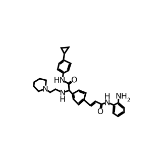 Nc1ccccc1NC(=O)C=Cc1ccc(C(NCCN2CCCCC2)C(=O)Nc2ccc(C3CC3)cc2)cc1